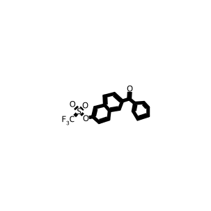 O=C(c1ccccc1)c1ccc2cc(OS(=O)(=O)C(F)(F)F)ccc2c1